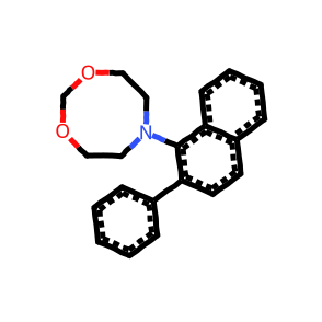 c1ccc(-c2ccc3ccccc3c2N2CCOCOCC2)cc1